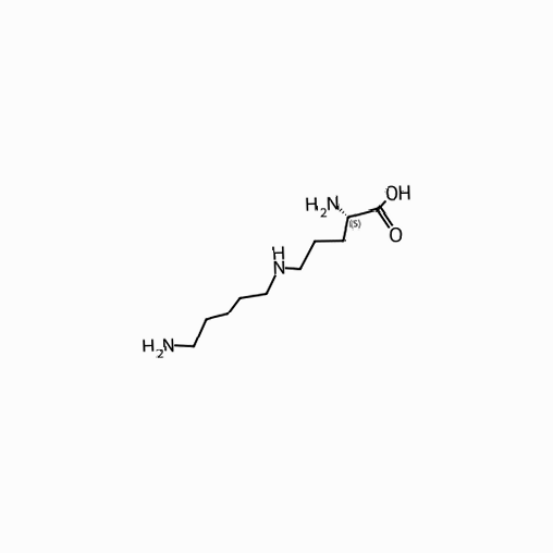 NCCCCCNCCC[C@H](N)C(=O)O